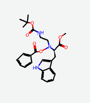 COC(=O)[C@@H](Cc1c[nH]c2ccccc12)N(CCNC(=O)OC(C)(C)C)OC(=O)c1ccccc1